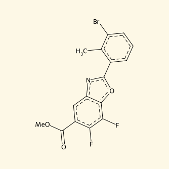 COC(=O)c1cc2nc(-c3cccc(Br)c3C)oc2c(F)c1F